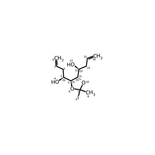 C=CC[C@H](O)[C@@H]1OC(C)(I)O[C@H]1[C@@H](O)CC=C